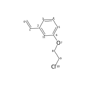 C=Cc1c[c]cc(OCCCl)c1